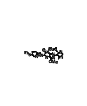 CCSc1ccc(CNc2nc3c(OC)nc(-c4c(C)ncnc4C4CC4)nc3n([C@H](C)CC)c2=O)nc1